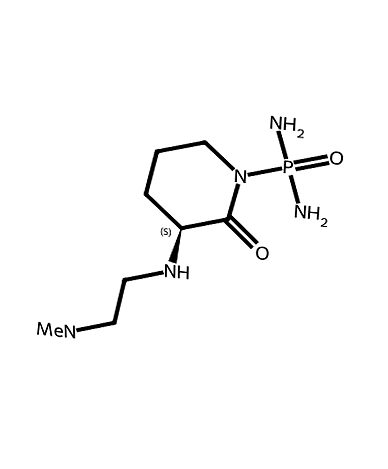 CNCCN[C@H]1CCCN(P(N)(N)=O)C1=O